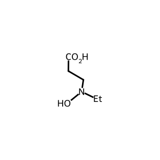 CCN(O)CCC(=O)O